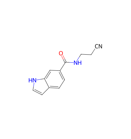 N#CCCNC(=O)c1ccc2cc[nH]c2c1